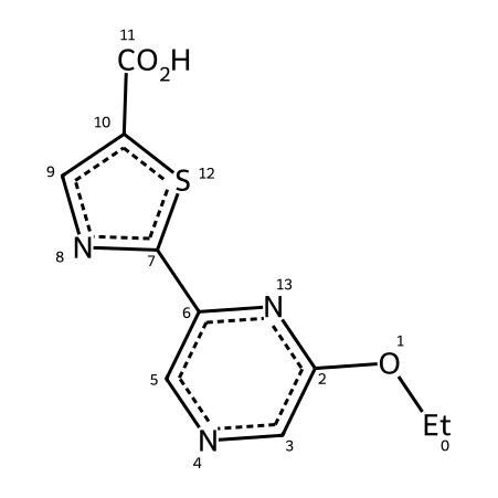 CCOc1cncc(-c2ncc(C(=O)O)s2)n1